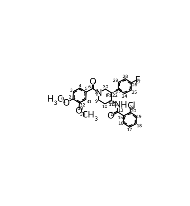 COc1ccc(C(=O)N2CC[C@H](NC(=O)c3ccccc3Cl)[C@H](c3ccc(F)cc3)C2)cc1OC